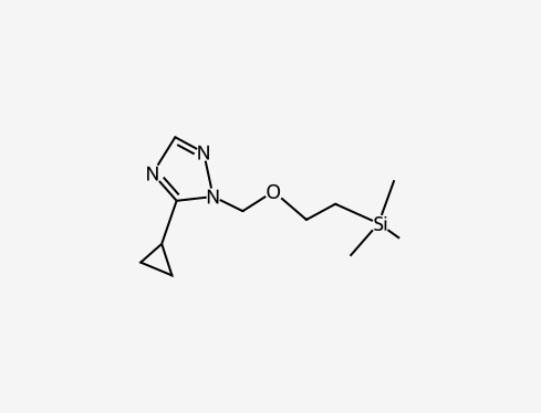 C[Si](C)(C)CCOCn1ncnc1C1CC1